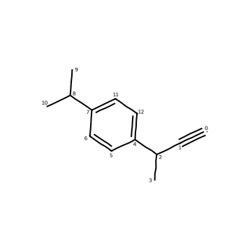 [C]#CC(C)c1ccc(C(C)C)cc1